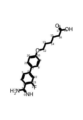 N=C(N)c1ccc(-c2ccc(OCCCCCC(=O)O)cc2)cc1F